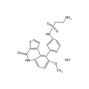 COc1ccc2[nH]c(=O)c3sccc3c2c1-c1cccc(NS(=O)(=O)CCN)c1.Cl